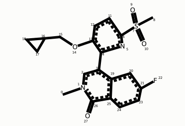 Cn1cc(-c2nc(S(C)(=O)=O)ccc2OCC2CC2)c2cc(F)ccc2c1=O